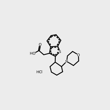 Cl.O=C(O)Cc1c(C2CCCCC2N2CCOCC2)sc2ccccc12